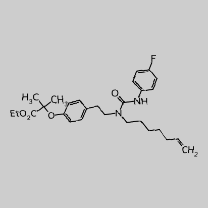 C=CCCCCCN(CCc1ccc(OC(C)(C)C(=O)OCC)cc1)C(=O)Nc1ccc(F)cc1